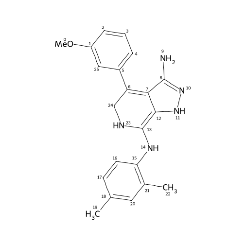 COc1cccc(C2=c3c(N)n[nH]c3=C(Nc3ccc(C)cc3C)NC2)c1